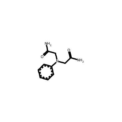 NC(=O)CN(CC(N)=O)c1ccccc1